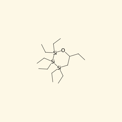 CCC1C[Si](CC)(CC)[Si](CC)(CC)[Si](CC)(CC)O1